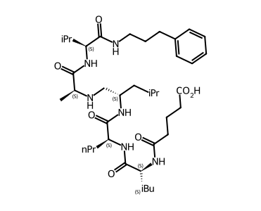 CCC[C@H](NC(=O)[C@@H](NC(=O)CCCC(=O)O)[C@@H](C)CC)C(=O)N[C@H](CN[C@@H](C)C(=O)N[C@H](C(=O)NCCCc1ccccc1)C(C)C)CC(C)C